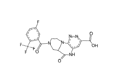 O=C(O)c1cc2c(nn1)N1CCN(C(=O)c3cc(F)ccc3C(F)(F)F)CC1C(=O)N2